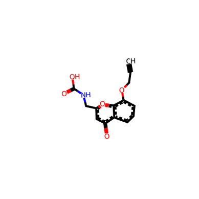 C#CCOc1cccc2c(=O)cc(CNC(=O)O)oc12